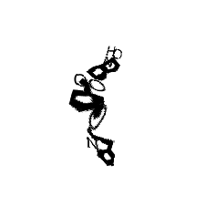 O=C1CCc2cc(OC(=O)c3cccc(OCc4ccc5ccccc5n4)c3)ccc2N1